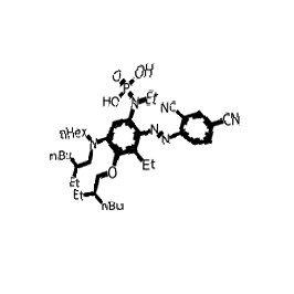 CCCCCCN(CC(CC)CCCC)c1cc(N(CC)P(=O)(O)O)c(N=Nc2ccc(C#N)cc2C#N)c(CC)c1OCC(CC)CCCC